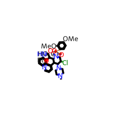 CCOc1ncccc1C1C(N2CCN(C)CC2)C(Cl)C[N+](C(=O)O)(S(=O)(=O)c2ccc(OC)cc2OC)C1C1C(=O)Nc2ccccc21